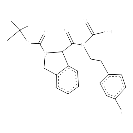 CC(C)(C)OC(=O)N1Cc2ccccc2C1C(=O)N(CCc1ccc(Cl)cc1)C(=O)O